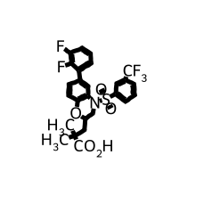 CC(C)(CC1CN(S(=O)(=O)c2cccc(C(F)(F)F)c2)c2cc(-c3cccc(F)c3F)ccc2O1)C(=O)O